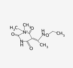 CCONC(C)=C1C(=O)NC(=O)[N+](C)(C)C1=O